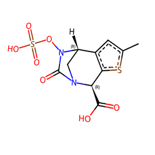 Cc1cc2c(s1)[C@@H](C(=O)O)N1C[C@@H]2N(OS(=O)(=O)O)C1=O